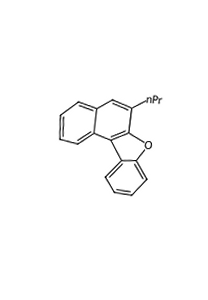 CCCc1cc2ccccc2c2c1oc1ccccc12